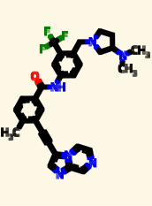 Cc1ccc(C(=O)Nc2ccc(CN3CCC(N(C)C)C3)c(C(F)(F)F)c2)cc1C#Cc1cnc2cnccn12